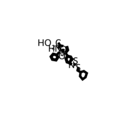 C=CC(c1ccc2nc(SCC3CCCCC3)sc2c1)S(=O)(=O)C(NC(C)C(=O)O)c1ccccc1